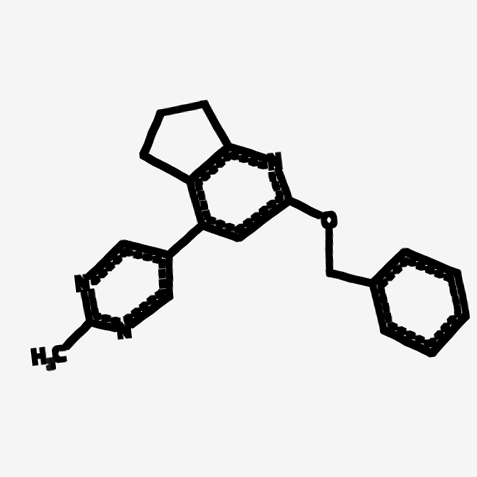 Cc1ncc(-c2cc(OCc3ccccc3)nc3c2CCC3)cn1